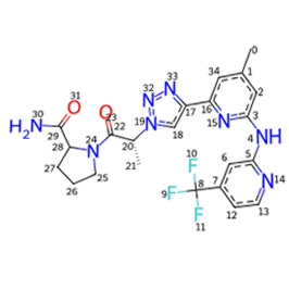 Cc1cc(Nc2cc(C(F)(F)F)ccn2)nc(-c2cn([C@H](C)C(=O)N3CCCC3C(N)=O)nn2)c1